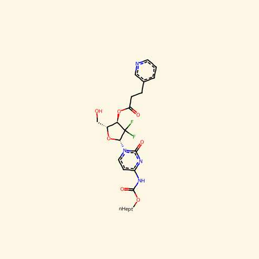 CCCCCCCOC(=O)Nc1ccn([C@@H]2O[C@H](CO)[C@@H](OC(=O)CCc3cccnc3)C2(F)F)c(=O)n1